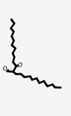 CCCCCCCCCCCCC([C]=O)C(=O)CCCCCCCCCCC